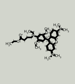 CCOC(=O)CCCN(CC)c1cc(OC)c(-c2c3ccc(=[N+](C)C)cc-3oc3cc(N(C)C)ccc23)cc1OC